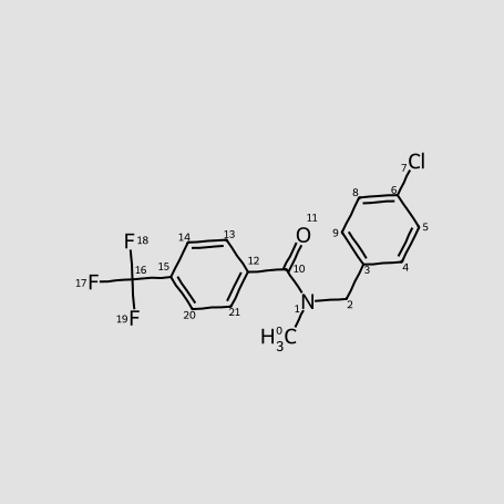 CN(Cc1ccc(Cl)cc1)C(=O)c1ccc(C(F)(F)F)cc1